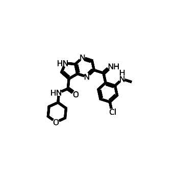 CNc1cc(Cl)ccc1C(=N)c1cnc2[nH]cc(C(=O)NC3CCOCC3)c2n1